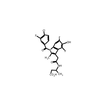 Cc1c(CC(=O)NC(C)CC(=O)O)c2c(F)c(O)c(F)cc2n1C(=O)c1ccc(Cl)c(F)c1